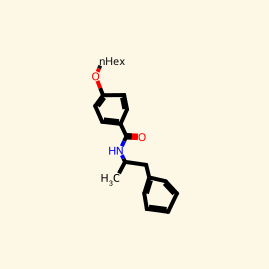 CCCCCCOc1ccc(C(=O)NC(C)Cc2ccccc2)cc1